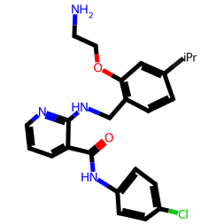 CC(C)c1ccc(CNc2ncccc2C(=O)Nc2ccc(Cl)cc2)c(OCCN)c1